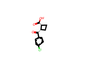 O=C(c1ccc(Cl)cc1)[C@H]1CC[C@H]1C(=O)O